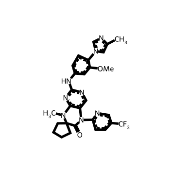 COc1cc(Nc2ncc3c(n2)N(C)C2(CCCC2)C(=O)N3c2ccc(C(F)(F)F)cn2)ccc1-n1cnc(C)c1